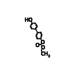 CCOC(=O)Oc1ccc(-c2ccc(O)cc2)cc1